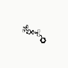 CS(=O)(=O)N1CCC2(CN(C(=O)OCc3ccccc3)C2)C1